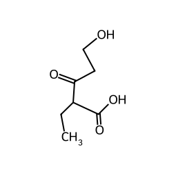 CCC(C(=O)O)C(=O)CCO